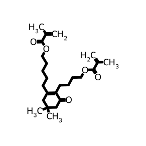 C=C(C)C(=O)OCCCCCC1=C(CCCCOC(=O)C(=C)C)C(=O)CC(C)(C)C1